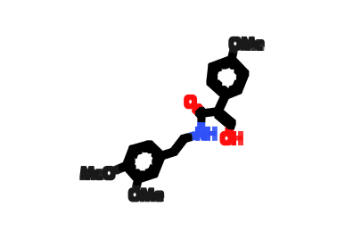 COc1ccc(/C(=C/O)C(=O)NCCc2ccc(OC)c(OC)c2)cc1